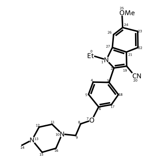 CCn1c(-c2ccc(OCCN3CCN(C)CC3)cc2)c(C#N)c2ccc(OC)cc21